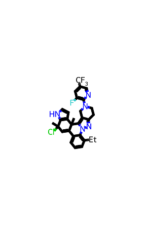 CCc1cccc2c1-n1nc3c(c1C1(C)C2=CC(C)(Cl)c2[nH]ccc21)CN(c1ncc(C(F)(F)F)cc1F)CC3